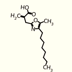 C=C(Cc1nc(CCCCCCCC)c(C)o1)C(=O)O